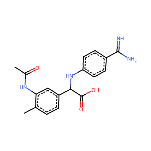 CC(=O)Nc1cc(C(Nc2ccc(C(=N)N)cc2)C(=O)O)ccc1C